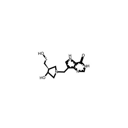 O=c1[nH]cnc2c(CN3CC(O)[C@@H](CSO)C3)c[nH]c12